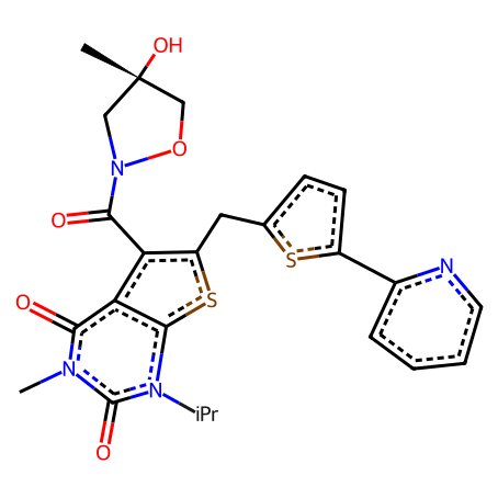 CC(C)n1c(=O)n(C)c(=O)c2c(C(=O)N3C[C@](C)(O)CO3)c(Cc3ccc(-c4ccccn4)s3)sc21